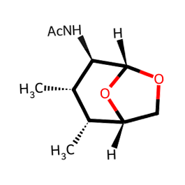 CC(=O)N[C@H]1[C@@H]2OC[C@@H](O2)[C@H](C)[C@@H]1C